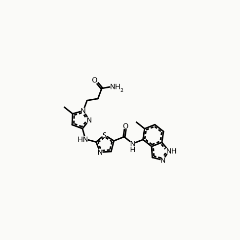 Cc1ccc2[nH]ncc2c1NC(=O)c1cnc(Nc2cc(C)n(CCC(N)=O)n2)s1